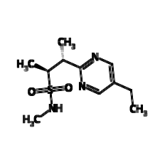 CCc1cnc([C@@H](C)[C@H](C)S(=O)(=O)NC)nc1